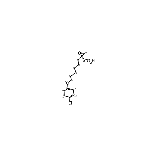 O=C(O)[C@]1(CCCCCCOc2ccc(Cl)cc2)CO1